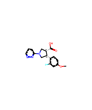 COc1ccc([C@@H]2CN(c3cccnn3)C[C@@H]2C(=O)O)c(F)c1